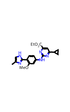 CCOC(=O)c1cc(C2CC2)nc(Nc2ccc(-c3nc(C)c[nH]3)c(OC)c2)n1